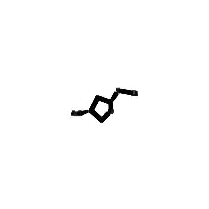 CCS[C@@H]1C[C@@H](OC(C)=O)CO1